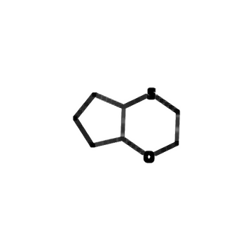 C1CC2OCCSC2C1